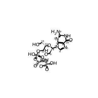 Nc1nc2c(ncn2[C@@H](CO)O[C@@H](CO)COP(=O)(O)OP(=O)(O)OP(=O)(O)O)c(=O)[nH]1